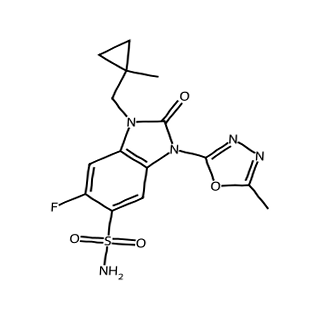 Cc1nnc(-n2c(=O)n(CC3(C)CC3)c3cc(F)c(S(N)(=O)=O)cc32)o1